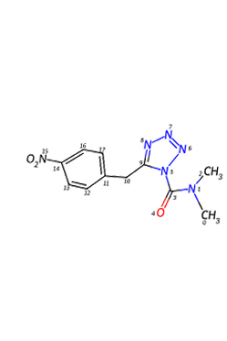 CN(C)C(=O)n1nnnc1Cc1ccc([N+](=O)[O-])cc1